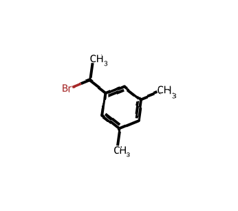 Cc1cc(C)cc(C(C)Br)c1